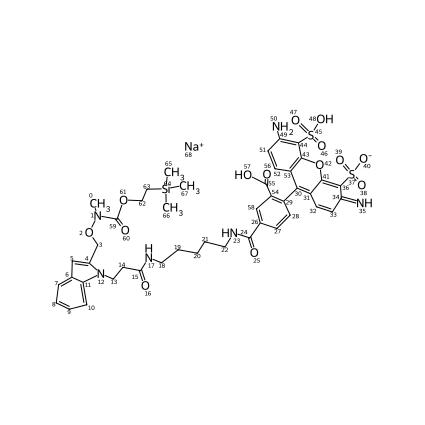 CN(OCc1cc2ccccc2n1CCC(=O)NCCCCCNC(=O)c1ccc(-c2c3ccc(=N)c(S(=O)(=O)[O-])c-3oc3c(S(=O)(=O)O)c(N)ccc23)c(C(=O)O)c1)C(=O)OCC[Si](C)(C)C.[Na+]